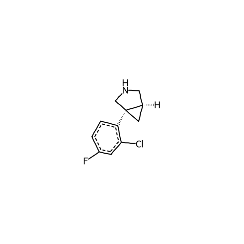 Fc1ccc([C@]23CNC[C@H]2C3)c(Cl)c1